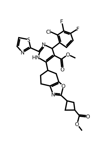 COC(=O)C1=C(C2CCc3nc(C4CC(C(=O)OC)C4)oc3C2)NC(c2nccs2)=NC1c1ccc(F)c(F)c1Cl